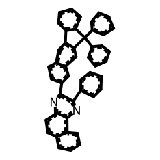 c1ccc(-c2nc3c(ccc4ccccc43)nc2-c2ccc3cc4c(cc3c2)C(c2ccccc2)(c2ccccc2)c2ccccc2-4)cc1